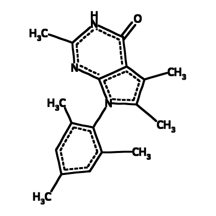 Cc1cc(C)c(-n2c(C)c(C)c3c(=O)[nH]c(C)nc32)c(C)c1